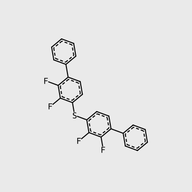 Fc1c(Sc2ccc(-c3ccccc3)c(F)c2F)ccc(-c2ccccc2)c1F